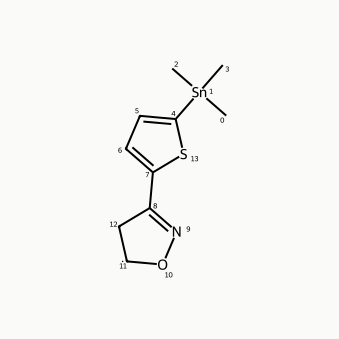 [CH3][Sn]([CH3])([CH3])[c]1ccc(C2=NO[CH]C2)s1